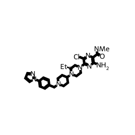 CC[C@H]1CN(c2nc(N)c(C(=O)NC)nc2Cl)CCN1C1CCN(Cc2ccc(-n3cccn3)cc2)CC1